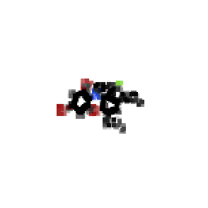 CN(c1cc([N+](=O)[O-])cc([N+](=O)[O-])c1CF)c1c(Br)cc(Br)cc1Br